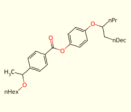 CCCCCCCCCCCC(CCC)Oc1ccc(OC(=O)c2ccc(C(C)OCCCCCC)cc2)cc1